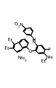 CCNc1cc(Oc2cccc3c(CC)c(CC)ccc23)c(N=Nc2ccc([N+](=O)[O-])cc2)cc1F.N